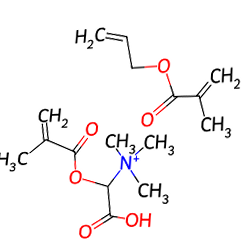 C=C(C)C(=O)OC(C(=O)O)[N+](C)(C)C.C=CCOC(=O)C(=C)C